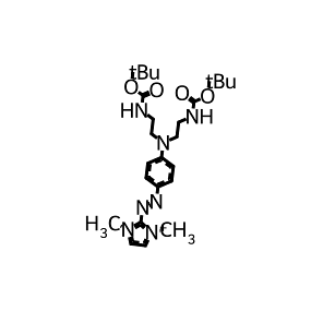 Cn1cc[n+](C)c1/N=N/c1ccc(N(CCNC(=O)OC(C)(C)C)CCNC(=O)OC(C)(C)C)cc1